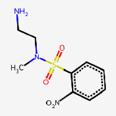 CN(CCN)S(=O)(=O)c1ccccc1[N+](=O)[O-]